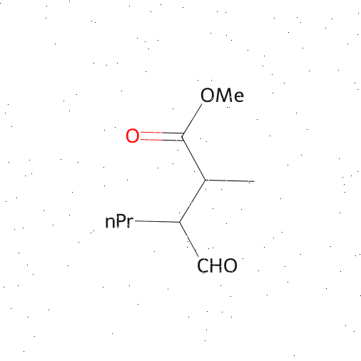 CCCC(C=O)C(C)C(=O)OC